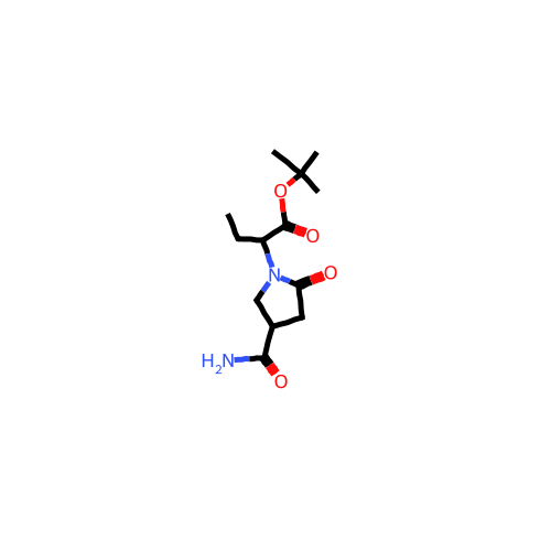 CCC(C(=O)OC(C)(C)C)N1CC(C(N)=O)CC1=O